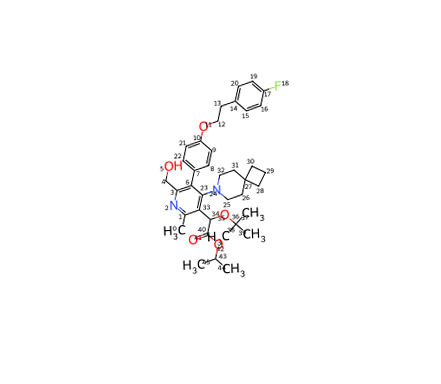 Cc1nc(CO)c(-c2ccc(OCCc3ccc(F)cc3)cc2)c(N2CCC3(CCC3)CC2)c1C(OC(C)(C)C)C(=O)OC(C)C